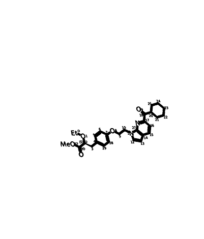 CCO[C@@H](Cc1ccc(OCCn2ccc3ccc(C(=O)C4CCCCC4)nc32)cc1)C(=O)OC